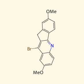 COc1ccc2c(c1)Cc1c-2nc2ccc(OC)cc2c1Br